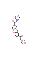 O=C(CN1CCOCC1)c1ccc2c(c1)Cc1cc(C(=O)CN3CCOCC3)ccc1O2